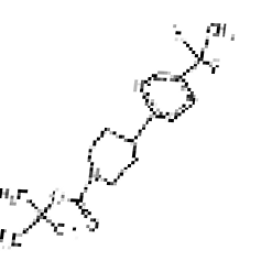 CC(C)(C)OC(=O)N1CCC(c2ccc(C(C)(F)F)cn2)CC1